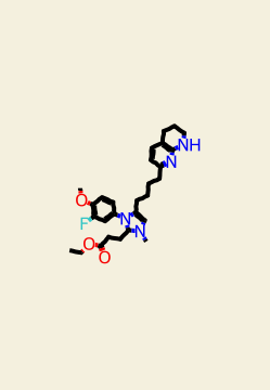 CCOC(=O)CCC1N(C)C=C(CCCCc2ccc3c(n2)NCCC3)N1c1ccc(OC)c(F)c1